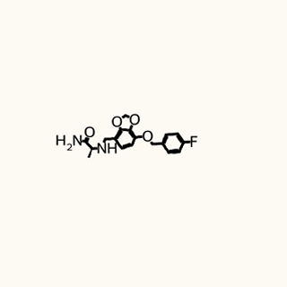 C[C@H](NCc1ccc(OCc2ccc(F)cc2)c2c1OCO2)C(N)=O